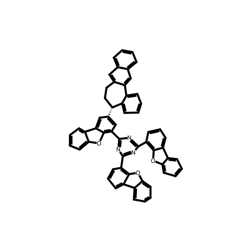 c1ccc2c(c1)-c1cc3ccccc3cc1CC[C@H]2c1cc(-c2nc(-c3cccc4c3oc3ccccc34)nc(-c3cccc4c3oc3ccccc34)n2)c2oc3ccccc3c2c1